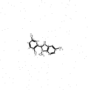 CN1c2ncc(C(F)(F)F)cc2NC1c1nc(Cl)ccc1Cl